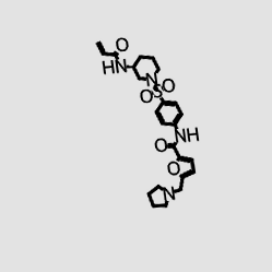 C=CC(=O)N[C@H]1CCCN(S(=O)(=O)c2ccc(NC(=O)c3ccc(CN4CCCC4)o3)cc2)C1